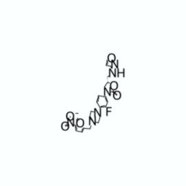 O=C1O[C@@H](CNc2ccon2)CN1c1ccc(N2CCN(Cc3ccc([N+](=O)[O-])o3)CC2)c(F)c1